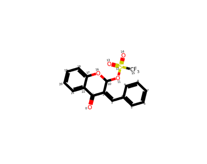 O=C1C(=Cc2ccccc2)C(OS(=O)(=O)C(F)(F)F)Oc2ccccc21